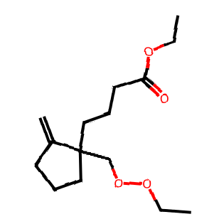 C=C1CCCC1(CCCC(=O)OCC)COOCC